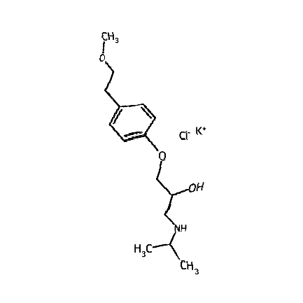 COCCc1ccc(OCC(O)CNC(C)C)cc1.[Cl-].[K+]